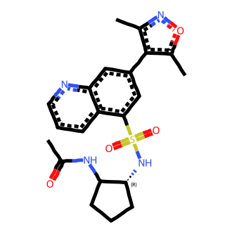 CC(=O)NC1CCC[C@H]1NS(=O)(=O)c1cc(-c2c(C)noc2C)cc2ncccc12